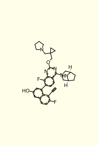 C#Cc1c(F)ccc2cc(O)cc(-c3ccc4c(N5C[C@H]6CC[C@@H](C5)N6)nc(OCC5(CN6CCCC6)CC5)nc4c3F)c12